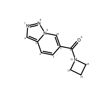 O=C(c1ccc2cnnn2c1)N1CCC1